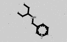 CCC(CC)NCc1cccnc1